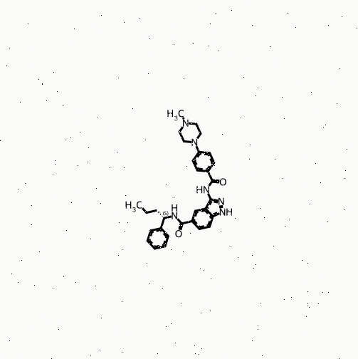 CCC[C@H](NC(=O)c1ccc2[nH]nc(NC(=O)c3ccc(N4CCN(C)CC4)cc3)c2c1)c1ccccc1